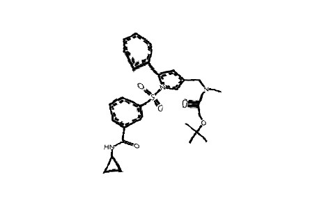 CN(Cc1cc(-c2ccccc2)n(S(=O)(=O)c2cccc(C(=O)NC3CC3)c2)c1)C(=O)OC(C)(C)C